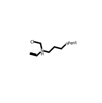 C=C[SiH](CCl)CCCCCCCC